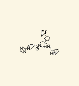 O=C(CN1CCN(c2cnccn2)CC1)N1CCC(CNCCc2cnc[nH]2)(c2cccc(C(F)(F)F)c2)CC1